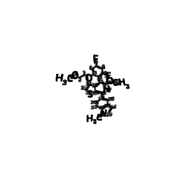 COCCOc1cc(F)cc(F)c1-c1c(OC)nc(-c2ccc3c(ccn3C)c2)c2sccc12